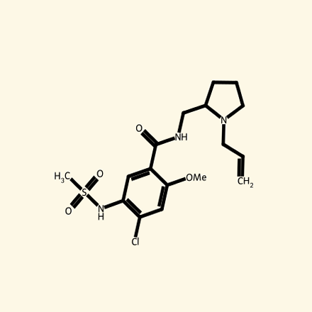 C=CCN1CCCC1CNC(=O)c1cc(NS(C)(=O)=O)c(Cl)cc1OC